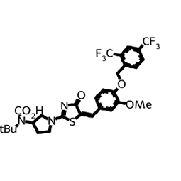 COc1cc(C=C2SC(N3CCC(N(C(=O)O)C(C)(C)C)C3)=NC2=O)ccc1OCc1ccc(C(F)(F)F)cc1C(F)(F)F